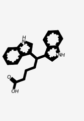 O=C(O)CCCC(c1c[nH]c2ccccc12)c1c[nH]c2ccccc12